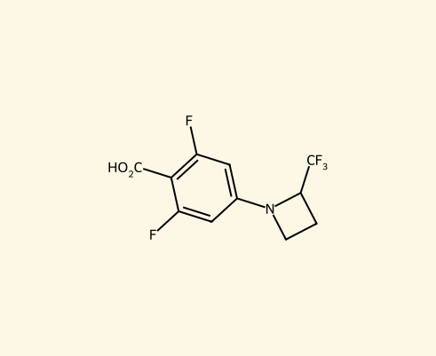 O=C(O)c1c(F)cc(N2CCC2C(F)(F)F)cc1F